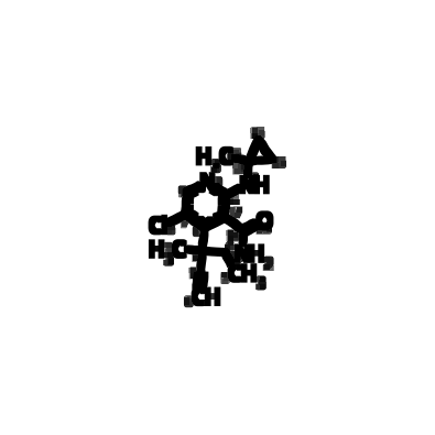 C#CC(C)(CC)c1c(Cl)cnc(NC2(C)CC2)c1C(N)=O